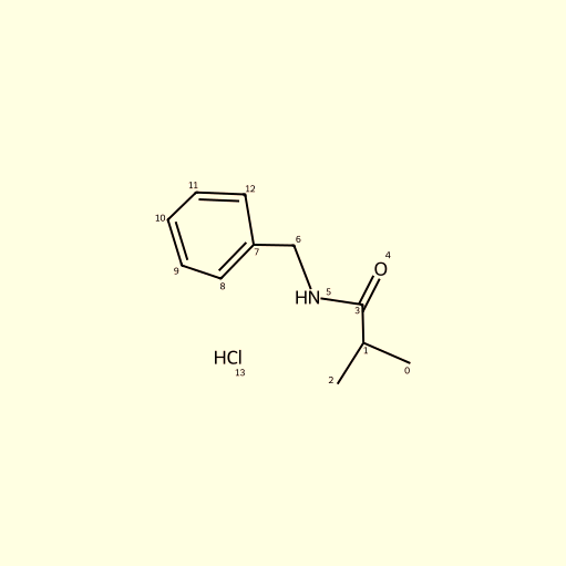 CC(C)C(=O)NCc1ccccc1.Cl